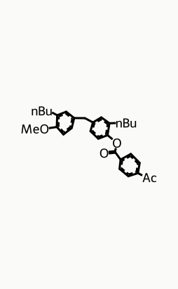 CCCCc1cc(Cc2ccc(OC(=O)c3ccc(C(C)=O)cc3)c(CCCC)c2)ccc1OC